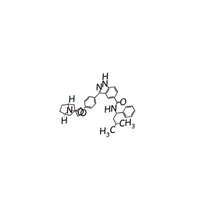 CC(C)CC(NC(=O)c1ccc2[nH]nc(-c3ccc(O[C@H]4C[C@H]5CC[C@@H](C4)N5C4COC4)cc3)c2c1)c1ccccc1